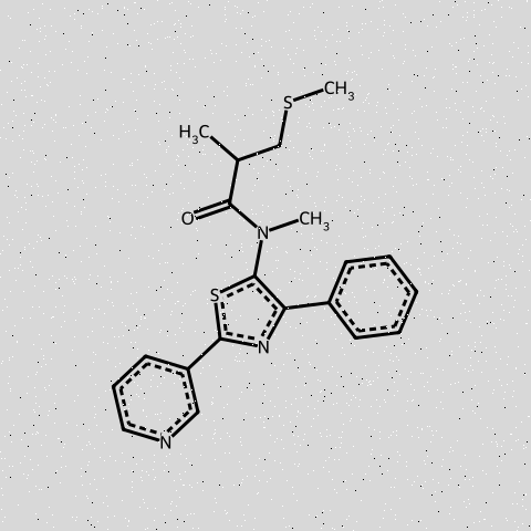 CSCC(C)C(=O)N(C)c1sc(-c2cccnc2)nc1-c1ccccc1